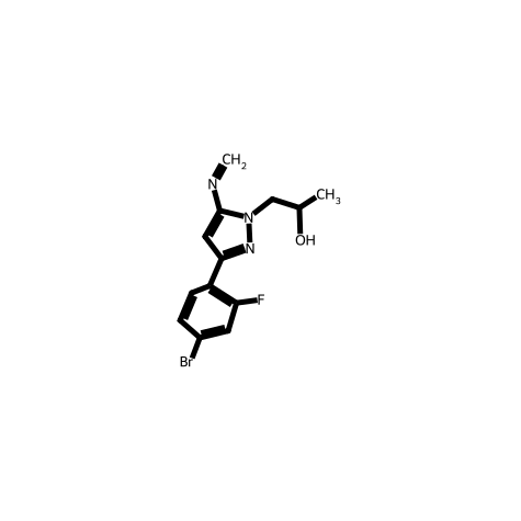 C=Nc1cc(-c2ccc(Br)cc2F)nn1CC(C)O